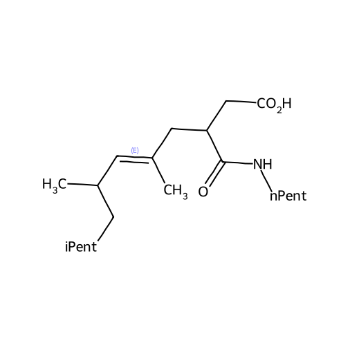 CCCCCNC(=O)C(CC(=O)O)C/C(C)=C/C(C)CC(C)CCC